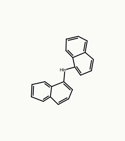 c1ccc2[c]([InH][c]3cccc4ccccc34)cccc2c1